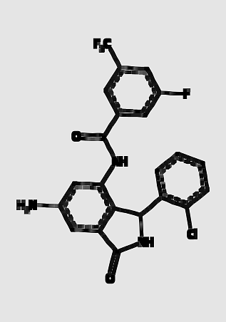 Nc1cc(NC(=O)c2cc(F)cc(C(F)(F)F)c2)c2c(c1)C(=O)NC2c1ccccc1Cl